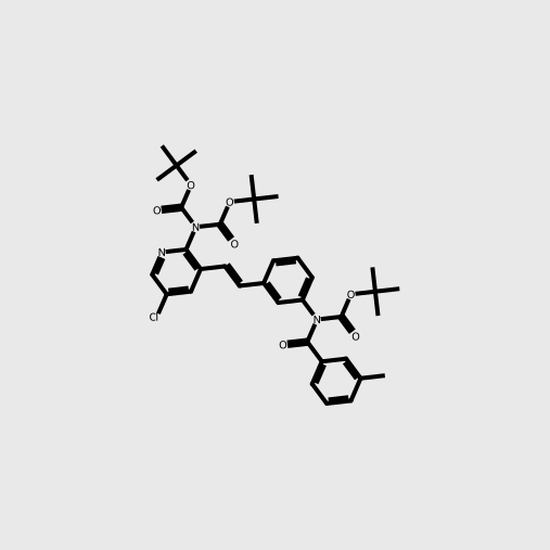 Cc1cccc(C(=O)N(C(=O)OC(C)(C)C)c2cccc(/C=C/c3cc(Cl)cnc3N(C(=O)OC(C)(C)C)C(=O)OC(C)(C)C)c2)c1